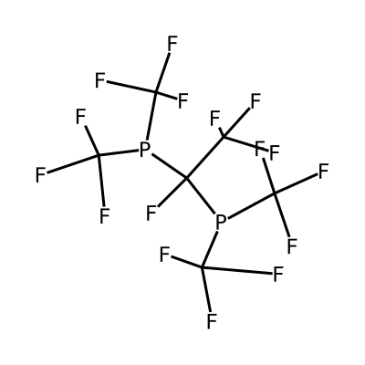 FC(F)(F)P(C(F)(F)F)C(F)(P(C(F)(F)F)C(F)(F)F)C(F)(F)F